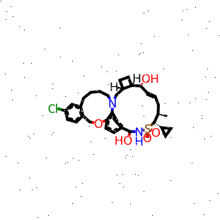 C[C@@H]1C/C=C/[C@H](O)[C@@H]2CC[C@H]2CN2CCCCc3cc(Cl)ccc3COc3ccc(cc32)C(O)NS(=O)(=O)[C@H]1C1CC1